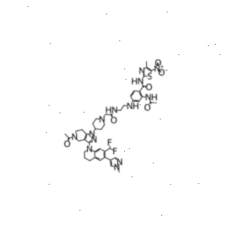 CC(=O)Nc1cc(NCCNC(=O)CN2CCC(n3nc(N4CCCc5cc(-c6cnn(C)c6)c(C(F)F)cc54)c4c3CCN(C(C)=O)C4)CC2)ccc1C(=O)Nc1nc(C)c([N+](=O)[O-])s1